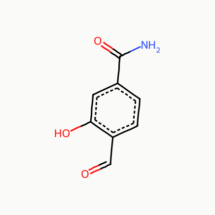 NC(=O)c1ccc(C=O)c(O)c1